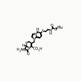 CC(C)(C)OC(=O)NCCSC1=CC=C2N(CC3=C(C(=O)O)N4C(=O)[C@@H](N)[C@@H]4SC3)C=CN2N1